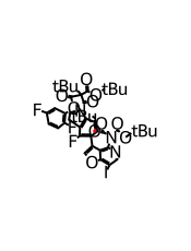 CC(C)(C)OC(=O)N(C(=O)OC(C)(C)C)c1ncc(I)c2occ(-c3ccc4c(c3F)CCN4C(=O)C(C(=O)Oc3cc(F)ccc3F)(C(=O)OC(C)(C)C)C(C)(C)C)c12